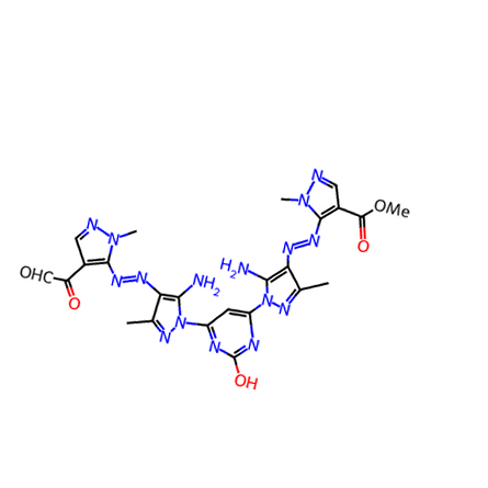 COC(=O)c1cnn(C)c1/N=N/c1c(C)nn(-c2cc(-n3nc(C)c(/N=N/c4c(C(=O)C=O)cnn4C)c3N)nc(O)n2)c1N